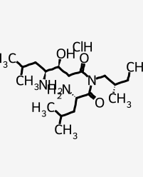 CC[C@H](C)CN(C(=O)C[C@H](O)[C@@H](N)CC(C)C)C(=O)[C@@H](N)CC(C)C.Cl